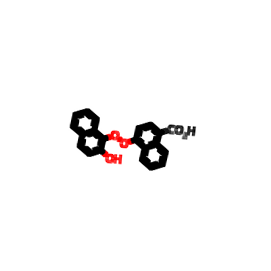 O=C(O)c1ccc(OOc2c(O)ccc3ccccc23)c2ccccc12